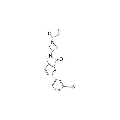 C=CC(=O)N1CC(N2Cc3ccc(-c4cccc(C#N)c4)cc3C2=O)C1